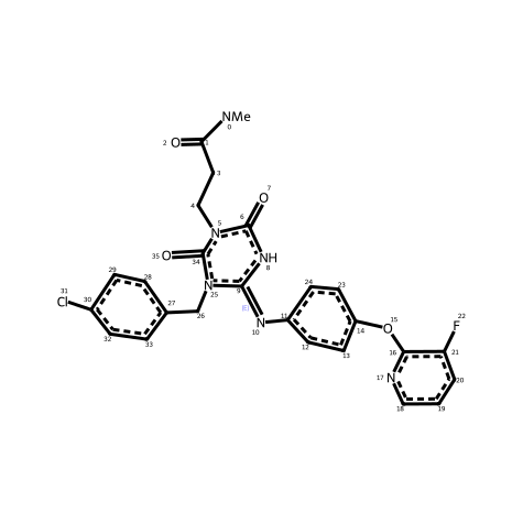 CNC(=O)CCn1c(=O)[nH]/c(=N\c2ccc(Oc3ncccc3F)cc2)n(Cc2ccc(Cl)cc2)c1=O